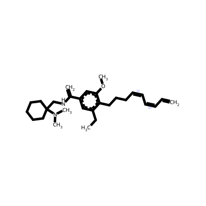 C=C/C=C\C=C/CCCc1c(CC)cc(C(=C)NCC2(N(C)C)CCCCC2)cc1OC